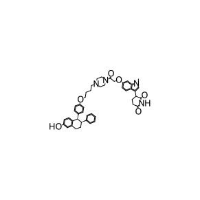 Cn1cc(C2CCC(=O)NC2=O)c2ccc(OCC(=O)N3CCN(CCCCOc4ccc([C@@H]5c6ccc(O)cc6CC[C@@H]5c5ccccc5)cc4)CC3)cc21